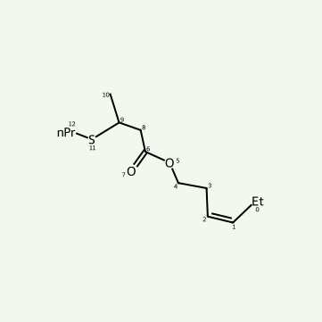 CC/C=C\CCOC(=O)CC(C)SCCC